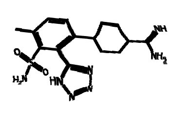 Cc1ccc(C2CCC(C(=N)N)CC2)c(-c2nnn[nH]2)c1S(N)(=O)=O